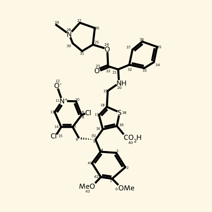 COc1ccc([C@H](Cc2c(Cl)c[n+]([O-])cc2Cl)c2cc(CNC(C(=O)OC3CCN(C)CC3)c3ccccc3)sc2C(=O)O)cc1OC